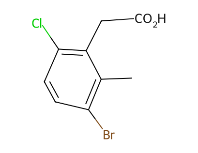 Cc1c(Br)ccc(Cl)c1CC(=O)O